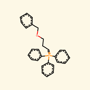 C(CCOCc1ccccc1)=P(c1ccccc1)(c1ccccc1)c1ccccc1